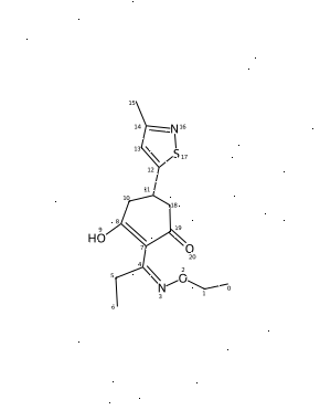 CCO/N=C(/CC)C1=C(O)CC(c2cc(C)ns2)CC1=O